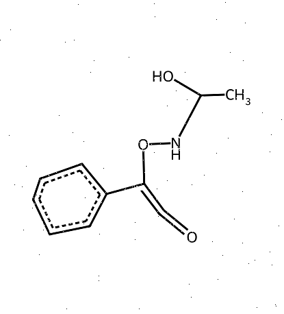 CC(O)NOC(=C=O)c1ccccc1